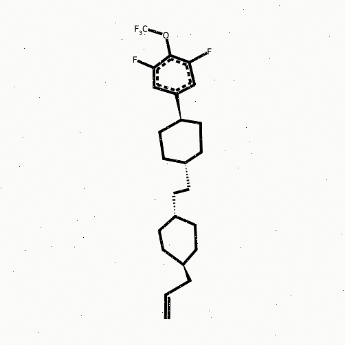 C=CC[C@H]1CC[C@H](CC[C@H]2CC[C@H](c3cc(F)c(OC(F)(F)F)c(F)c3)CC2)CC1